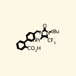 CCCc1c(C(F)(F)F)n(C(C)(C)C)c(=O)n1Cc1ccc(-c2ccccc2C(=O)O)cc1